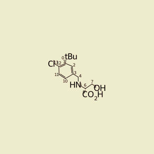 CC(C)(C)c1cc(CN[C@H](CO)C(=O)O)ccc1Cl